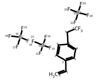 C=Cc1ccc(CC(F)(F)F)cc1.F[B-](F)(F)F.F[B-](F)(F)F.F[B-](F)(F)F